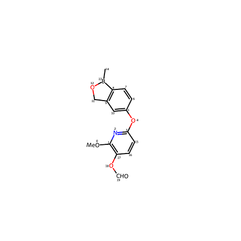 COc1nc(Oc2ccc3c(c2)COB3C)ccc1OC=O